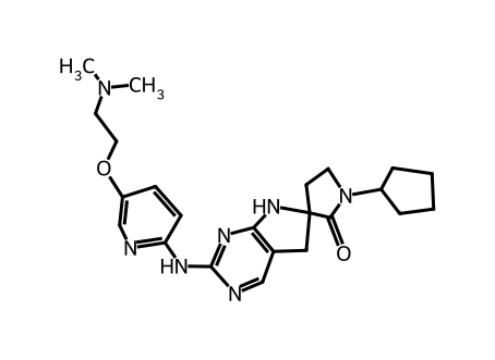 CN(C)CCOc1ccc(Nc2ncc3c(n2)NC2(CCN(C4CCCC4)C2=O)C3)nc1